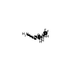 NCCCCCN1CCN(c2c[nH]c(Nc3nc4cc(F)c(F)cc4[nH]3)nc2=O)CC1